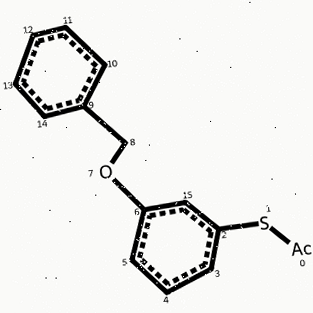 CC(=O)Sc1cccc(OCc2ccccc2)c1